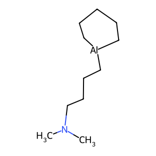 CN(C)CCC[CH2][Al]1[CH2]CCC[CH2]1